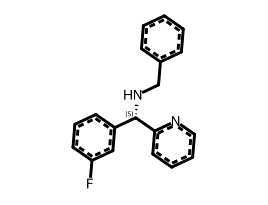 Fc1cccc([C@H](NCc2ccccc2)c2ccccn2)c1